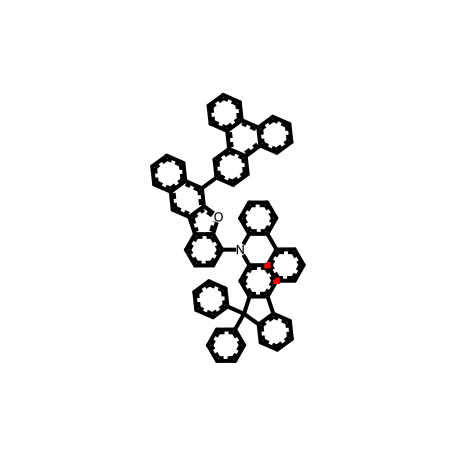 c1ccc(-c2ccccc2N(c2ccc3c(c2)C(c2ccccc2)(c2ccccc2)c2ccccc2-3)c2cccc3c2oc2c(-c4ccc5c6ccccc6c6ccccc6c5c4)c4ccccc4cc23)cc1